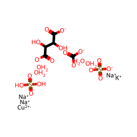 O.O.O.O.O=C([O-])C(O)C(O)C(=O)[O-].O=C([O-])[O-].O=S(=O)(O)O.O=S(=O)([O-])[O-].[Cu+2].[K+].[Na+].[Na+].[Na+]